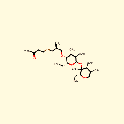 C=C(CO[C@@H]1[C@H](OC(C)=O)[C@@H](OC(C)=O)[C@@H](O[C@]2(OC(C)=O)[C@H](OC(C)=O)[C@@H](OC(C)=O)CO[C@@H]2COC(C)=O)O[C@@H]1COC(C)=O)CSCCC(=O)OC